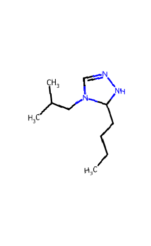 CCCCC1NN=CN1CC(C)C